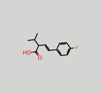 CC(C)C(C=Cc1ccc(F)cc1)C(=O)O